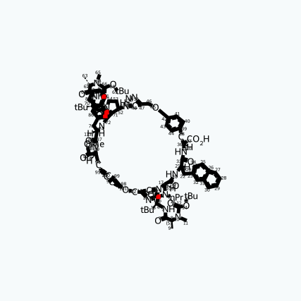 CCCN(C(=O)[C@@H](NC(=O)[C@H](C)N(C)C(=O)OC(C)(C)C)C(C)(C)C)[C@@H]1C(=O)N[C@@H](Cc2ccc3ccccc3c2)C(=O)N[C@H](C(=O)O)Cc2ccc(cc2)OCc2cn(nn2)[C@@H]2CCN(C(=O)[C@@H](NC(=O)[C@H](C)N(C)C(=O)OC(C)(C)C)C(C)(C)C)[C@@H]2C(=O)N[C@@H](Cc2ccc3ccccc3c2)C(=O)N[C@H](C(=O)OC)Cc2ccc(cc2)OCc2cn1nn2